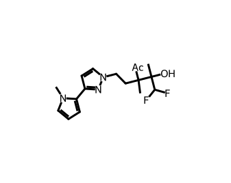 CC(=O)C(C)(CCn1ccc(-c2cccn2C)n1)C(C)(O)C(F)F